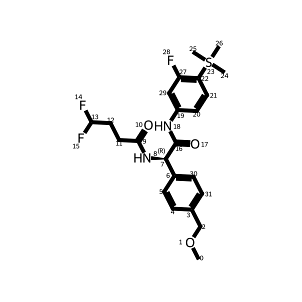 COCc1ccc([C@@H](NC(=O)CCC(F)F)C(=O)Nc2ccc(S(C)(C)C)c(F)c2)cc1